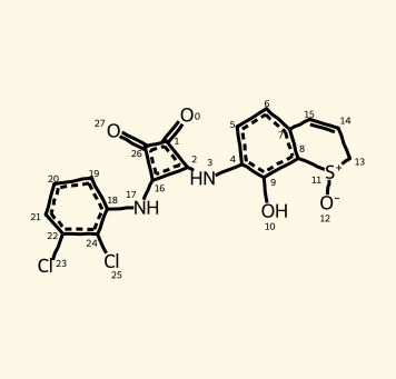 O=c1c(Nc2ccc3c(c2O)[S+]([O-])CC=C3)c(Nc2cccc(Cl)c2Cl)c1=O